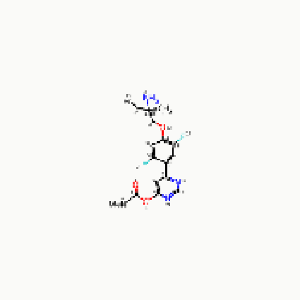 CNC(=O)Oc1cc(-c2cc(F)c(OC[C@@](C)(N)CC(C)C)cc2F)ncn1